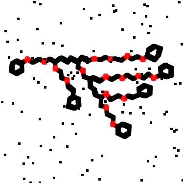 C(=CC(COCCOc1ccccc1)OCCOC=Cc1ccccc1)C=C(C=COCCOCCOCCOc1ccccc1)COCC(C=COCCOCCOCCOc1ccccc1)=CC=CC(COCCOc1ccccc1)OCCOC=Cc1ccccc1